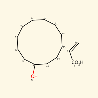 C=CC(=O)O.OC1CCCCCCCCCCC1